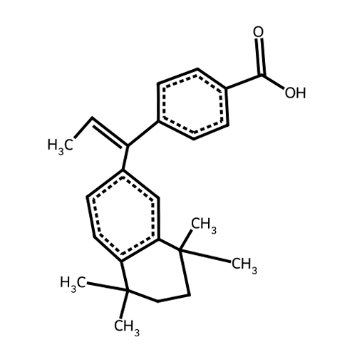 C/C=C(/c1ccc(C(=O)O)cc1)c1ccc2c(c1)C(C)(C)CCC2(C)C